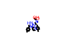 Cc1ccc(C[C@@H](CN(C)C(=O)CO)n2c(=N)n(C(C)c3ccc(C)cc3)c3cccnc32)cc1